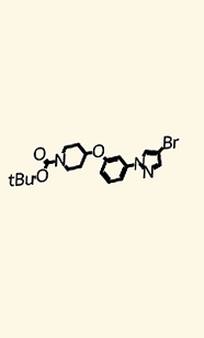 CC(C)(C)OC(=O)N1CCC(Oc2cccc(-n3cc(Br)cn3)c2)CC1